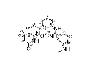 CNc1cc(CNc2nccc(-c3ccc4c(n3)NC(=O)CC4(C)C)c2C(N)=O)ccn1